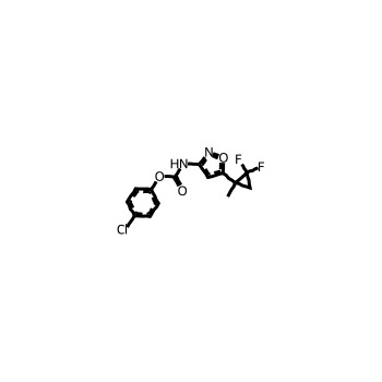 CC1(c2cc(NC(=O)Oc3ccc(Cl)cc3)no2)CC1(F)F